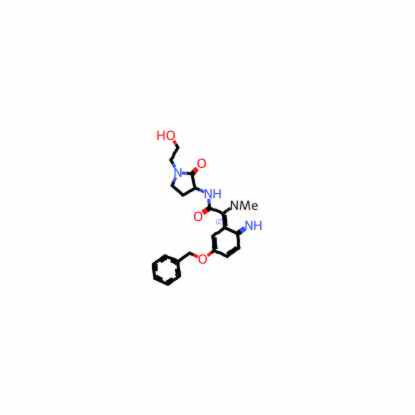 CN/C(C(=O)NC1CCN(CCO)C1=O)=C1/C=C(OCc2ccccc2)C=CC1=N